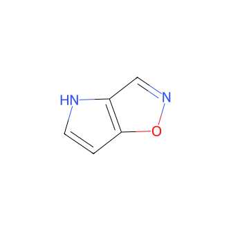 c1cc2oncc2[nH]1